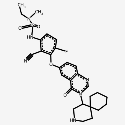 CCN(C)S(=O)(=O)Nc1ccc(F)c(Oc2ccc3ncn(C4CNCCC45CCCCC5)c(=O)c3c2)c1C#N